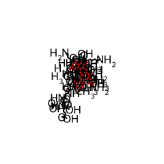 CC(C)C[C@H](NC(=O)[C@H](CCCCN)NC(=O)[C@H](CO)NC(=O)[C@H](CCCCN)NC(=O)[C@H](CC(C)C)NC(=O)[C@@H](N)CCCCN)C(=O)NCC(=O)N[C@@H](CC(=O)O)C(=O)N[C@@H](CC(C)C)C(=O)N[C@H](C(=O)N[C@H](C(=O)N[C@H](C(=O)N[C@@H](CO)C(=O)N[C@@H](CC(C)C)C(=O)N1CCC[C@H]1C(=O)NCC(=O)NCC(=O)N[C@@H](CCC(=O)O)C(=O)N[C@@H](CCC(=O)O)C(=O)O)C(C)C)[C@@H](C)O)C(C)C